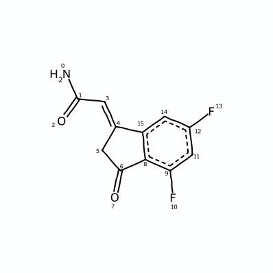 NC(=O)/C=C1\CC(=O)c2c(F)cc(F)cc21